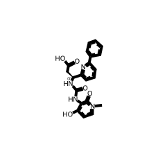 Cn1ccc(O)c(NC(=O)N[C@@H](CC(=O)O)c2cccc(-c3ccccc3)n2)c1=O